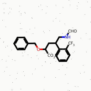 O=CNCC(CC(OCc1ccccc1)C(=O)O)c1ccccc1C(F)(F)F